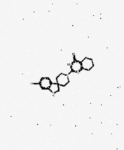 O=c1[nH]c(N2CCC3(CC2)CNc2cc(Br)ccc23)nc2c1CCCC2